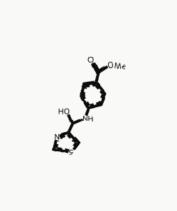 COC(=O)c1ccc(NC(O)c2cscn2)cc1